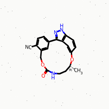 C[C@@H]1CCNC(=O)OCc2cc(ccc2C#N)-c2n[nH]c3ccc(cc23)O1